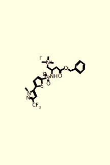 Cn1nc(C(F)(F)F)cc1-c1ccc(S(=O)(=O)NC(CC(=O)OCc2ccccc2)C[N+](C)(C)C)s1.[I-]